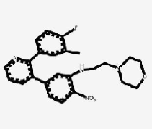 Cc1cc(-c2ncccc2-c2ccc([N+](=O)[O-])c(NCCN3CCOCC3)c2)ccc1F